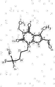 CCn1c(=O)c2c(C)c(C=O)sc2n(CCCC(F)(F)F)c1=O